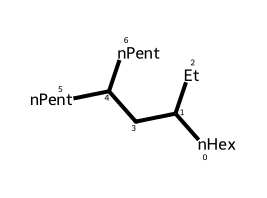 CCCCCCC(CC)CC(CCCCC)CCCCC